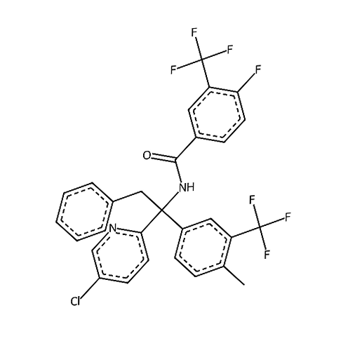 Cc1ccc(C(Cc2ccccc2)(NC(=O)c2ccc(F)c(C(F)(F)F)c2)c2ccc(Cl)cn2)cc1C(F)(F)F